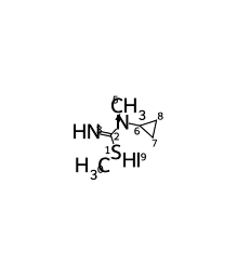 CSC(=N)N(C)C1CC1.I